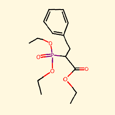 CCOC(=O)C(Cc1ccccc1)P(=O)(OCC)OCC